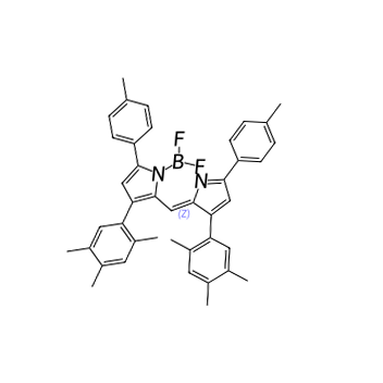 Cc1ccc(C2=N/C(=C\c3c(-c4cc(C)c(C)cc4C)cc(-c4ccc(C)cc4)n3B(F)F)C(c3cc(C)c(C)cc3C)=C2)cc1